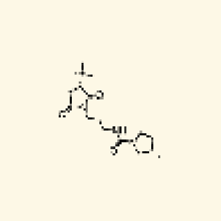 C[C@H]1CCN(C(=O)NCCCN2C(=O)CC(C(C)(C)C)C2=O)C1